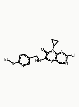 CCSc1ccc(CNc2nc3cnc(Cl)nc3n(C3CC3)c2=O)cn1